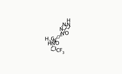 CN(C(=O)Nc1cccc(C(F)(F)F)c1)C1CC2(C1)CN(C(=O)c1ncnc3[nH]ccc13)C2